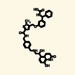 Cn1nc(C(=O)NCc2ccc(CNCC(O)c3ccc(O)c4[nH]c(=O)ccc34)cc2)cc1COc1cccc(C(NC(=O)O)c2ccccc2)c1